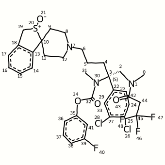 CN(C[C@](CCCN1CCC2(CC1)c1ccccc1C[S+]2[O-])(c1ccc(Cl)c(Cl)c1)N(C)C(=O)Oc1cccc(F)c1)C(=O)CC(F)(F)F